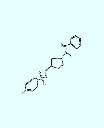 Cc1ccc(S(=O)(=O)OCC2CCC(N(C)C(=O)c3ccccc3)CC2)cc1